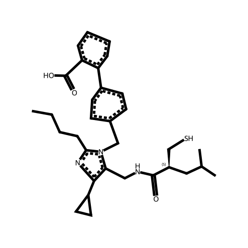 CCCCc1nc(C2CC2)c(CNC(=O)[C@@H](CS)CC(C)C)n1Cc1ccc(-c2ccccc2C(=O)O)cc1